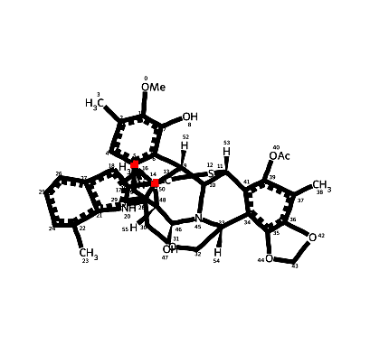 COc1c(C)cc2c(c1O)[C@@H]1C3[C@@H]4SC[C@]5(NCCc6c5[nH]c5c(C)cccc65)C(=O)COC[C@@H](c5c6c(c(C)c(OC(C)=O)c54)OCO6)N3[C@@H](O)[C@H](C2)N1C